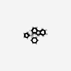 C1=CC[C]([Hf](=[C]2CCCCC2)[c]2cccc3c2Cc2ccccc2-3)=C1